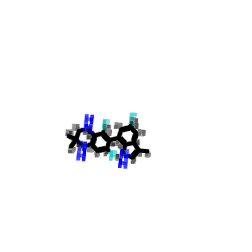 Cc1c[nH]c2c(-c3c(F)cc4c(c3F)NCC(C)(C)N4)cc(F)cc12